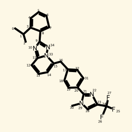 CC(C)c1ccccc1-c1nc2cccc(Cc3ccc(-c4nc(C(F)(F)F)cn4C)cc3)n2n1